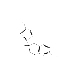 CC1(c2ccc(Cl)cc2)CCc2nc(O)ccc2C1